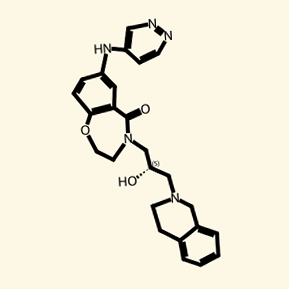 O=C1c2cc(Nc3ccnnc3)ccc2OCCN1C[C@@H](O)CN1CCc2ccccc2C1